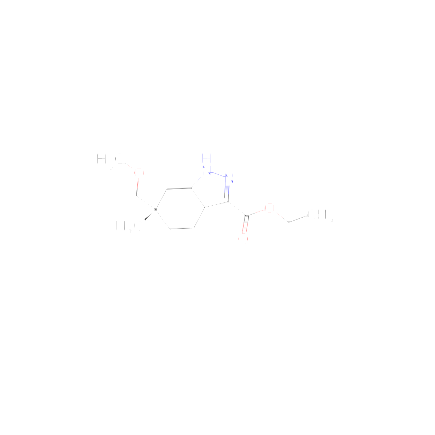 CCOC(=O)C1=NNC2C[C@@](C)(COC)CCC12